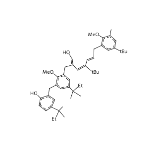 CCC(C)(C)c1ccc(O)c(Cc2cc(C(C)(C)CC)cc(CC(=C\O)/C=C(\C=C\Cc3cc(C(C)(C)C)cc(C)c3OC)C(C)(C)C)c2OC)c1